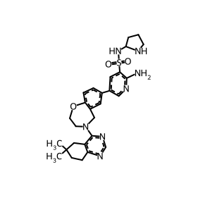 CC1(C)CCc2ncnc(N3CCOc4ccc(-c5cnc(N)c(S(=O)(=O)NC6CCCN6)c5)cc4C3)c2C1